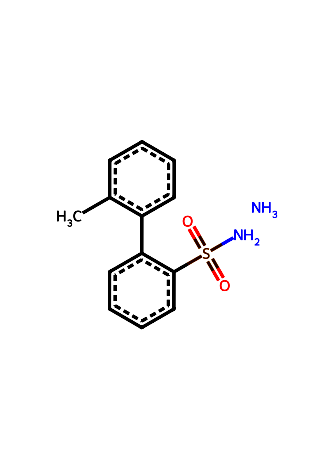 Cc1ccccc1-c1ccccc1S(N)(=O)=O.N